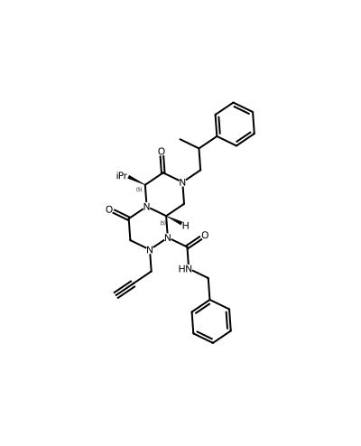 C#CCN1CC(=O)N2[C@@H](C(C)C)C(=O)N(CC(C)c3ccccc3)C[C@@H]2N1C(=O)NCc1ccccc1